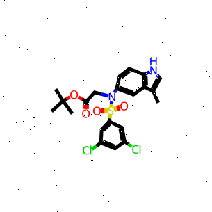 Cc1c[nH]c2ccc(N(CC(=O)OC(C)(C)C)S(=O)(=O)c3cc(Cl)cc(Cl)c3)cc12